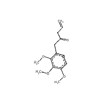 C=CCC(=O)Cc1ccc(OC)c(OC)c1OC